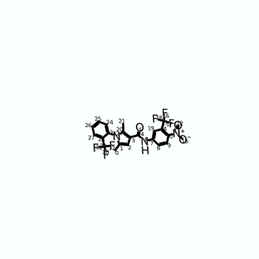 Cc1cc(C(=O)Nc2ccc([N+](=O)[O-])c(C(F)(F)F)c2)c(C)n1-c1ccccc1C(F)(F)F